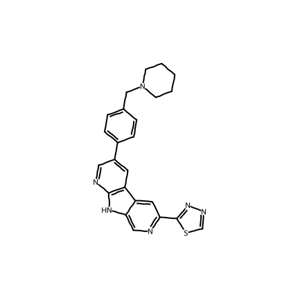 c1nnc(-c2cc3c(cn2)[nH]c2ncc(-c4ccc(CN5CCCCC5)cc4)cc23)s1